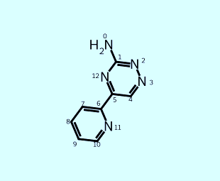 Nc1nncc(-c2ccccn2)n1